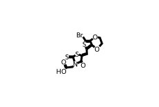 O=C(O)CN1C(=O)C(=Cc2sc(Br)c3c2OCCO3)SC1=S